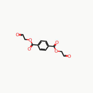 O=CCOC(=O)c1ccc(C(=O)OCC=O)cc1